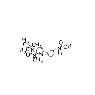 CCC(C)(C)n1c(=O)n(C)c2nc(-c3cccc(CNC(=O)O)c3)ccc21